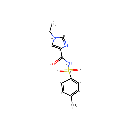 Cc1ccc(S(=O)(=O)NC(=O)c2cn(CC(F)(F)F)cn2)cc1